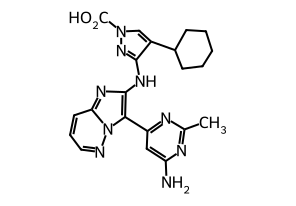 Cc1nc(N)cc(-c2c(Nc3nn(C(=O)O)cc3C3CCCCC3)nc3cccnn23)n1